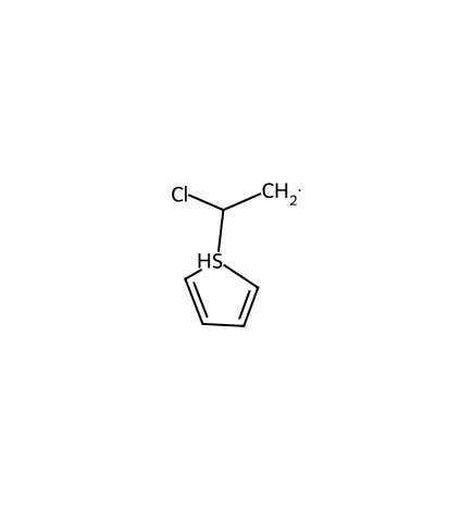 [CH2]C(Cl)[SH]1C=CC=C1